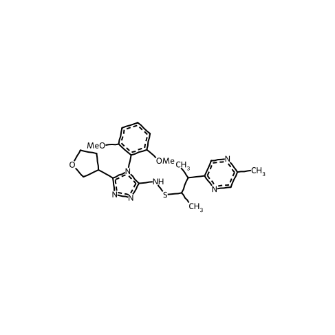 COc1cccc(OC)c1-n1c(NSC(C)C(C)c2cnc(C)cn2)nnc1C1CCOC1